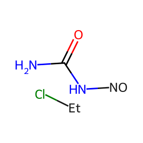 CCCl.NC(=O)NN=O